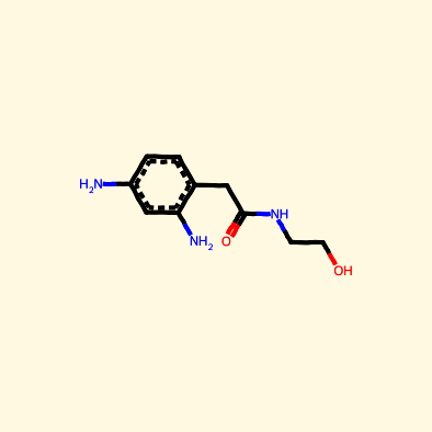 Nc1ccc(CC(=O)NCCO)c(N)c1